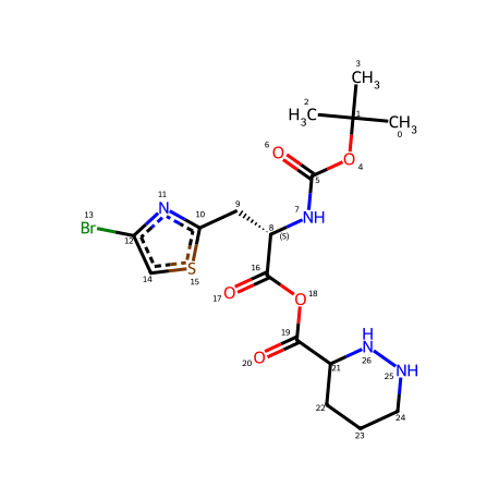 CC(C)(C)OC(=O)N[C@@H](Cc1nc(Br)cs1)C(=O)OC(=O)C1CCCNN1